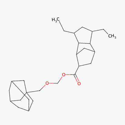 CCC1CC(CC)C2C3CC(CC3C(=O)OCOCC34CC5CC(CC(C5)C3)C4)C12